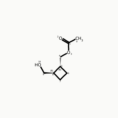 CC(=O)OC[C@@H]1CC[C@H]1CO